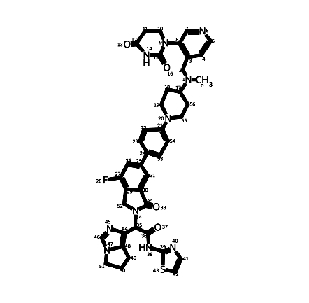 CN(Cc1ccncc1N1CCC(=O)NC1=O)C1CCN(c2ccc(-c3cc(F)c4c(c3)C(=O)N(C(C(=O)Nc3nccs3)c3ncn5c3CCC5)C4)cc2)CC1